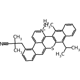 Cc1c2c(c(C(C)C)c3ccccc13)Sc1cc3cccc(CC(C)(C)C#N)c3c3cc[n+](C)c-2c13